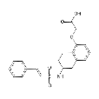 O=C(O)COc1cccc2c1CCC(NS(=O)(=O)C=Cc1ccccc1)C2